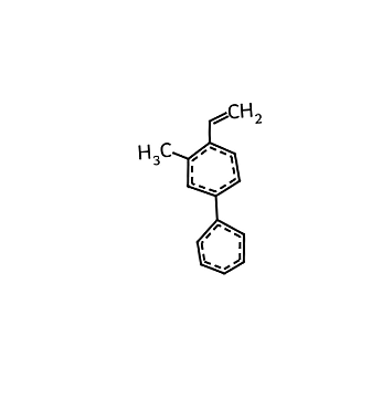 C=Cc1ccc(-c2ccccc2)cc1C